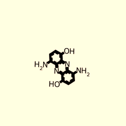 Nc1ccc(O)c2nc3c(N)ccc(O)c3nc12